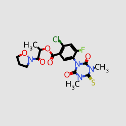 CC(OC(=O)c1cc(-n2c(=O)n(C)c(=S)n(C)c2=O)c(F)cc1Cl)C(=O)N1CCCO1